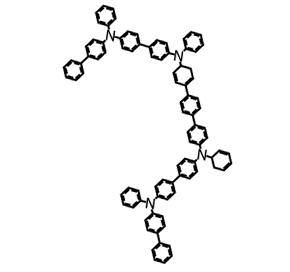 C1=CCC(N(c2ccc(-c3ccc(C4=CCC(N(c5ccccc5)c5ccc(-c6ccc(N(c7ccccc7)c7ccc(-c8ccccc8)cc7)cc6)cc5)C=C4)cc3)cc2)c2ccc(-c3ccc(N(c4ccccc4)c4ccc(-c5ccccc5)cc4)cc3)cc2)C=C1